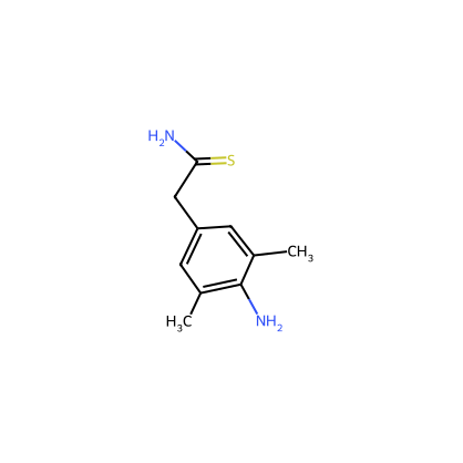 Cc1cc(CC(N)=S)cc(C)c1N